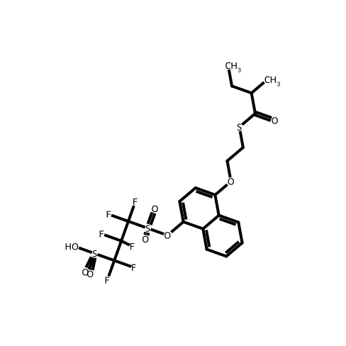 CCC(C)C(=O)SCCOc1ccc(OS(=O)(=O)C(F)(F)C(F)(F)C(F)(F)S(=O)(=O)O)c2ccccc12